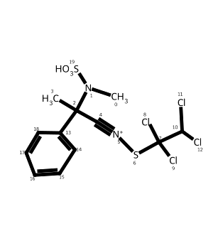 CN(C(C)(C#[N+]SC(Cl)(Cl)C(Cl)Cl)c1ccccc1)S(=O)(=O)O